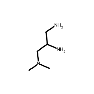 CN(C)CC(N)CN